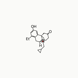 CCc1cc(O)cc2c1C[C@@H]1[C@@H]3CCC(=O)C[C@]23CCN1CC1CC1